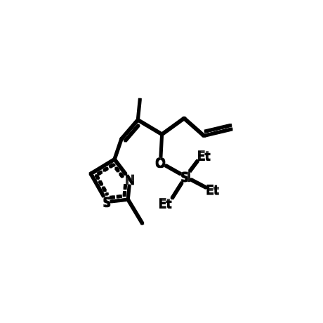 C=CCC(O[Si](CC)(CC)CC)C(C)=Cc1csc(C)n1